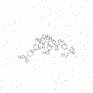 Cc1ncsc1-c1ccc(C(C)NC(=O)[C@@H]2C[C@@H](O)CN2C(=O)C(NC(=O)c2ccc(N3CCC(C(=O)O)CC3)cn2)C(C)(C)C)cc1